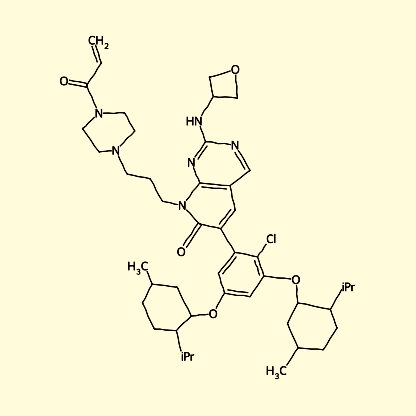 C=CC(=O)N1CCN(CCCn2c(=O)c(-c3cc(OC4CC(C)CCC4C(C)C)cc(OC4CC(C)CCC4C(C)C)c3Cl)cc3cnc(NC4COC4)nc32)CC1